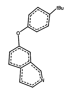 CC(C)(C)c1ccc(Oc2ccc3ccncc3c2)cc1